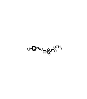 COC(=O)CCS(=O)(=O)NCCOCCc1ccc(Cl)cc1